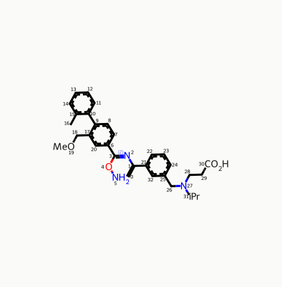 C=C(/N=C(\ON)c1ccc(-c2ccccc2C)c(COC)c1)c1cccc(CN(CCC(=O)O)C(C)C)c1